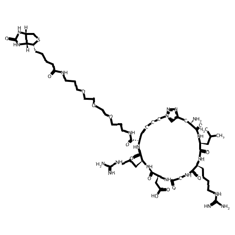 CC(C)C[C@@H]1NC(=O)[C@@H](N)Cc2cn(nn2)CCCC[C@@H](C(=O)NCCCOCCOCCOCCCNC(=O)CCCC[C@H]2SC[C@H]3NC(=O)N[C@H]32)NC(=O)[C@H](CCCNC(=N)N)NC(=O)[C@H](CC(=O)O)NC(=O)CNC(=O)[C@H](CCCCNC(=N)N)NC1=O